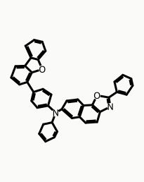 C1=CCC(N(c2ccc(-c3cccc4c3oc3ccccc34)cc2)c2ccc3c(ccc4nc(-c5ccccc5)oc43)c2)C=C1